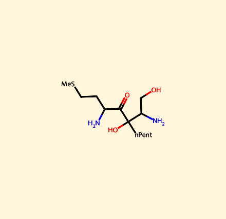 CCCCCC(O)(C(=O)C(N)CCSC)C(N)CO